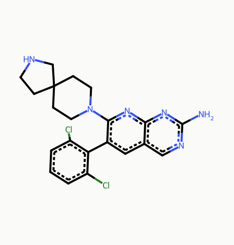 Nc1ncc2cc(-c3c(Cl)cccc3Cl)c(N3CCC4(CCNC4)CC3)nc2n1